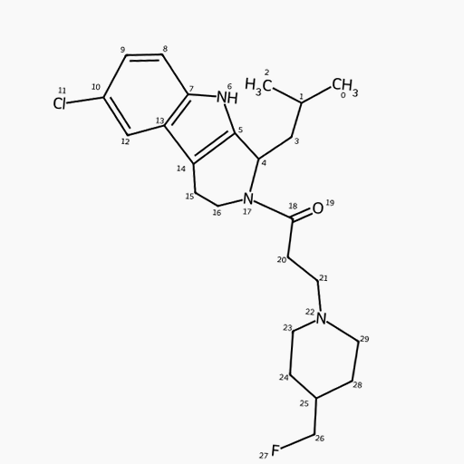 CC(C)CC1c2[nH]c3ccc(Cl)cc3c2CCN1C(=O)CCN1CCC(CF)CC1